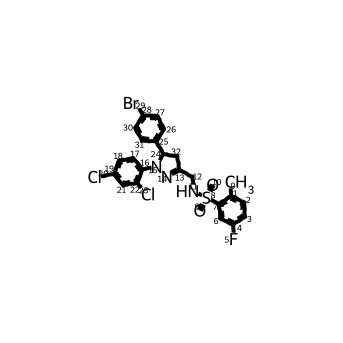 Cc1ccc(F)cc1S(=O)(=O)NCC1=NN(c2ccc(Cl)cc2Cl)C(c2ccc(Br)cc2)C1